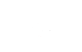 CC1(C)OB([Si](C)(C)c2ccccc2)OC1(C)C